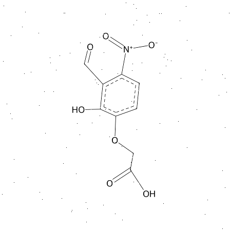 O=Cc1c([N+](=O)[O-])ccc(OCC(=O)O)c1O